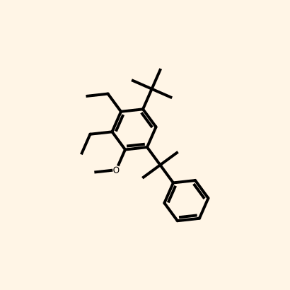 CCc1c(C(C)(C)C)cc(C(C)(C)c2ccccc2)c(OC)c1CC